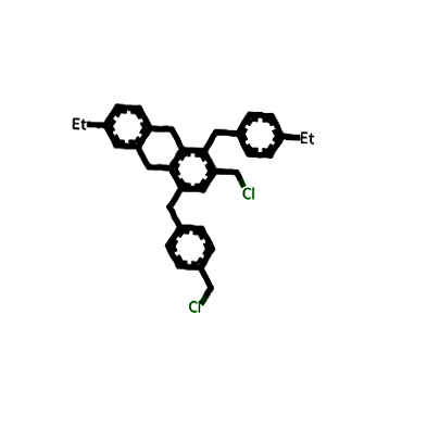 CCc1ccc(Cc2c(CCl)cc(Cc3ccc(CCl)cc3)c3c2Cc2ccc(CC)cc2C3)cc1